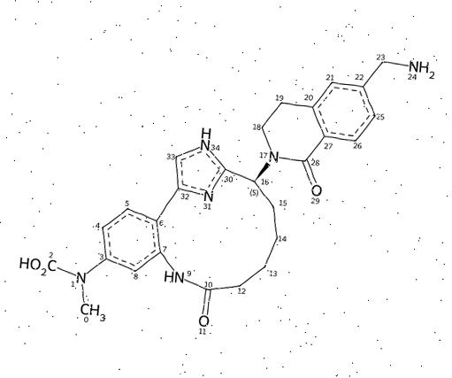 CN(C(=O)O)c1ccc2c(c1)NC(=O)CCCC[C@H](N1CCc3cc(CN)ccc3C1=O)c1nc-2c[nH]1